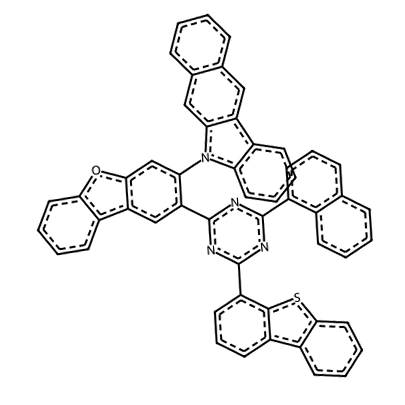 c1ccc2cc3c(cc2c1)c1ccccc1n3-c1cc2oc3ccccc3c2cc1-c1nc(-c2cccc3ccccc23)nc(-c2cccc3c2sc2ccccc23)n1